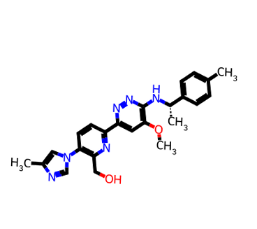 COc1cc(-c2ccc(-n3cnc(C)c3)c(CO)n2)nnc1N[C@@H](C)c1ccc(C)cc1